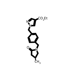 CCOC(=O)c1cnn(Cc2ccc(CN3C[C@@H](C)CC3=O)cc2)c1